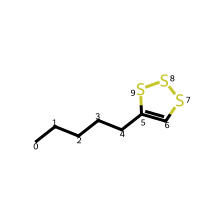 CCCCCC1=CSSS1